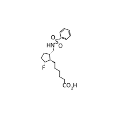 O=C(O)CCCCC[C@@H]1[C@@H](CNS(=O)(=O)c2ccccc2)CC[C@H]1F